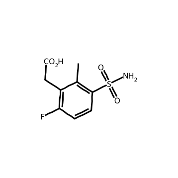 Cc1c(S(N)(=O)=O)ccc(F)c1CC(=O)O